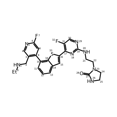 CCNCc1cnc(F)cc1-c1cccc2cc(-c3nc(NCCN4CCNC4=O)ncc3F)sc12